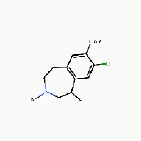 COc1cc2c(cc1Cl)C(C)CN(C(C)=O)CC2